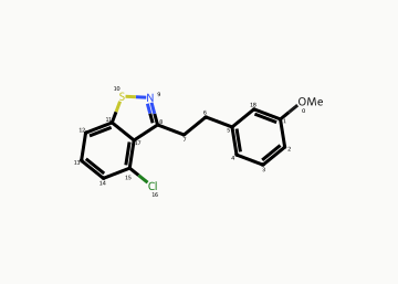 COc1cccc(CCc2nsc3cccc(Cl)c23)c1